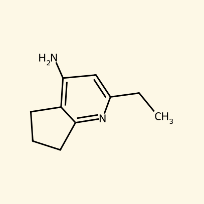 CCc1cc(N)c2c(n1)CCC2